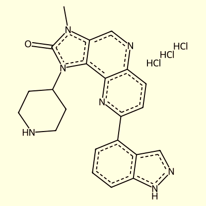 Cl.Cl.Cl.Cn1c(=O)n(C2CCNCC2)c2c3nc(-c4cccc5[nH]ncc45)ccc3ncc21